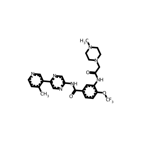 Cc1ccncc1-c1cnc(NC(=O)c2ccc(OC(F)(F)F)c(NC(=O)CN3CCN(C)CC3)c2)cn1